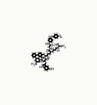 COc1ccc(Nc2ccc(NC(=O)CNC(=O)[C@H](CCCCNC(=N)N)CCC(=O)[C@H](Cc3ccc(-c4ccccc4)cc3)NC(=O)[C@H](Cc3c[nH]c4ccc(O)cc34)NC(=O)[C@H]3CCC[C@H](N)C3)cc2)cc1